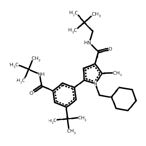 Cc1c(C(=O)NCC(C)(C)C)cc(-c2cc(C(=O)NC(C)(C)C)cc(C(C)(C)C)c2)n1CC1CCCCC1